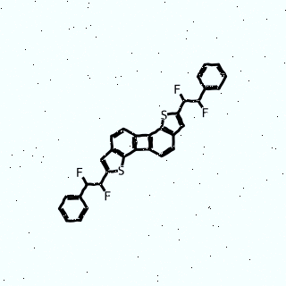 FC(c1ccccc1)C(F)c1cc2ccc3c(c2s1)-c1ccc2cc(C(F)C(F)c4ccccc4)sc2c1-3